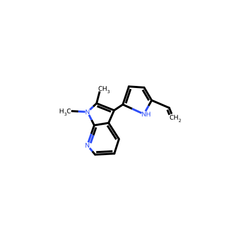 C=Cc1ccc(-c2c(C)n(C)c3ncccc23)[nH]1